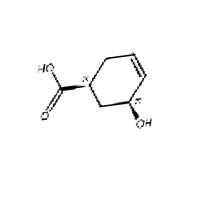 O=C(O)[C@H]1CC=C[C@@H](O)C1